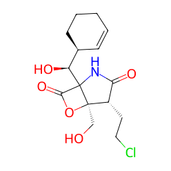 O=C1NC2([C@@H](O)[C@@H]3C=CCCC3)C(=O)O[C@]2(CO)[C@H]1CCCl